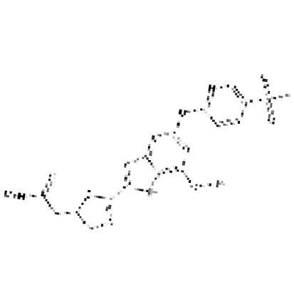 CNC(=O)CC1CN=C(c2cc3cc(Oc4ccc(S(C)(=O)=O)cn4)cc(OC(C)C)c3[nH]2)S1